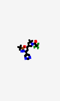 CC1(C)CC(CCC(N[S+]([O-])C(C)(C)C)c2cncnc2)CN1C(=O)C(F)(F)F